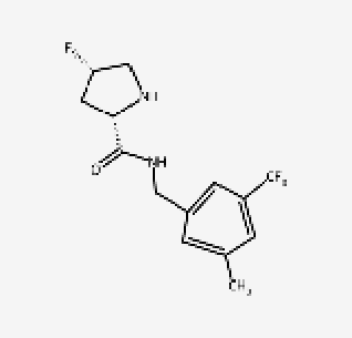 Cc1cc(CNC(=O)[C@@H]2C[C@H](F)CN2)cc(C(F)(F)F)c1